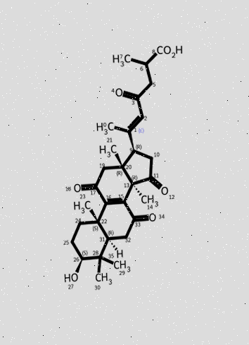 C/C(=C\C(=O)CC(C)C(=O)O)[C@H]1CC(=O)[C@@]2(C)C3=C(C(=O)C[C@]12C)[C@@]1(C)CC[C@H](O)C(C)(C)[C@@H]1CC3=O